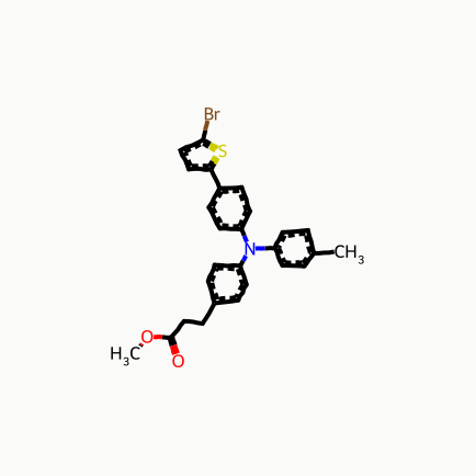 COC(=O)CCc1ccc(N(c2ccc(C)cc2)c2ccc(-c3ccc(Br)s3)cc2)cc1